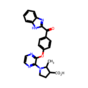 CC1C(C(=O)O)CCN1c1nccnc1Oc1ccc(C(=O)c2nc3ccccc3[nH]2)cc1